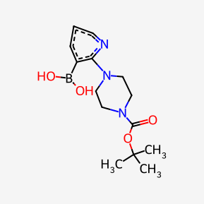 CC(C)(C)OC(=O)N1CCN(c2ncccc2B(O)O)CC1